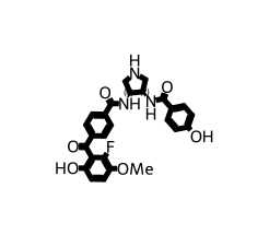 COc1ccc(O)c(C(=O)c2ccc(C(=O)N[C@@H]3CNC[C@H]3NC(=O)c3ccc(O)cc3)cc2)c1F